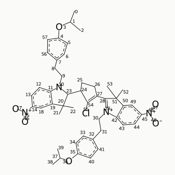 CC(C)Oc1ccc(CCN2c3ccc([N+](=O)[O-])cc3C(C)(C)C2C2CCC(C3=[N+](CCc4ccc(OC(C)C)cc4)c4ccc([N+](=O)[O-])cc4C3(C)C)=C2Cl)cc1